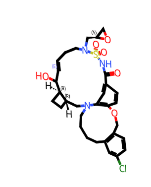 O=C1NS(=O)(=O)N(C[C@H]2CO2)CC/C=C/C(O)[C@@H]2CC[C@H]2CN2CCCCc3cc(Cl)ccc3COc3ccc1cc32